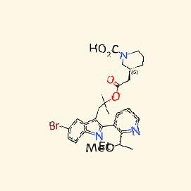 CCn1c(-c2cccnc2C(C)OC)c(CC(C)(C)OC(=O)C[C@@H]2CCCN(C(=O)O)C2)c2cc(Br)ccc21